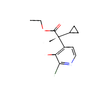 CCOC(=O)[C@@](C)(c1ccnc(Cl)c1O)C1CC1